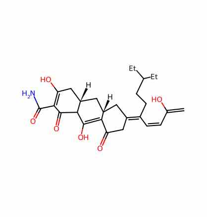 C=C(O)/C=C\C(CCC(CC)CC)=C1/CC(=O)C2=C(O)C3C(=O)C(C(N)=O)=C(O)C[C@@H]3C[C@@H]2C1